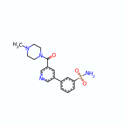 CN1CCN(C(=O)c2cncc(-c3cccc(S(N)(=O)=O)c3)c2)CC1